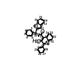 O=C(NC(c1ccccc1)c1cc2ccccc2o1)c1c(O)c(-c2ccccc2)nc2ccccc12